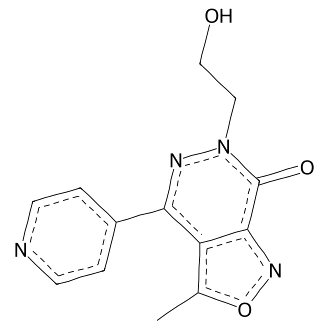 Cc1onc2c(=O)n(CCO)nc(-c3ccncc3)c12